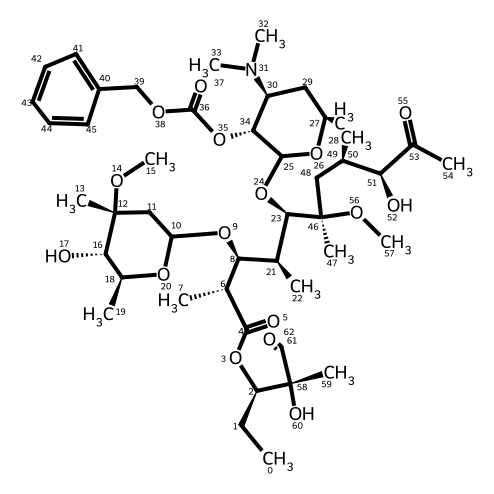 CC[C@@H](OC(=O)[C@H](C)[C@@H](OC1C[C@@](C)(OC)[C@@H](O)[C@H](C)O1)[C@H](C)[C@@H](OC1O[C@H](C)C[C@H](N(C)C)[C@H]1OC(=O)OCc1ccccc1)[C@@](C)(C[C@@H](C)[C@H](O)C(C)=O)OC)[C@@](C)(O)C=O